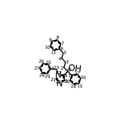 OC(CCCCc1ccccc1)(c1ccccc1)c1cncn1Cc1ccccc1